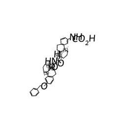 C[C@]1(C(=O)NC(=O)[C@@]2(C)CCC[C@]3(C)c4cc(OCc5ccccc5)ccc4CC[C@@H]23)CCC[C@]2(C)c3cc(NC(=O)O)ccc3CC[C@@H]12